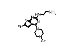 CCc1cc2c(N3CCN(C(C)=O)CC3)nc(NCCN)nc2s1